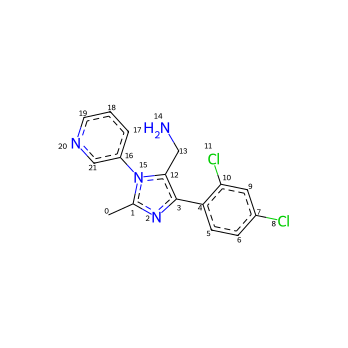 Cc1nc(-c2ccc(Cl)cc2Cl)c(CN)n1-c1cccnc1